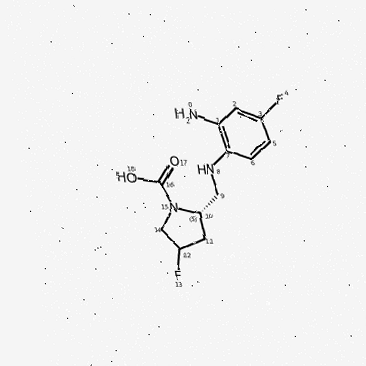 Nc1cc(F)ccc1NC[C@@H]1CC(F)CN1C(=O)O